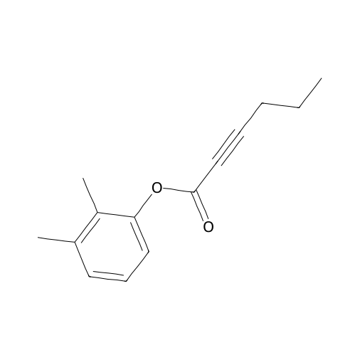 CCCC#CC(=O)Oc1cccc(C)c1C